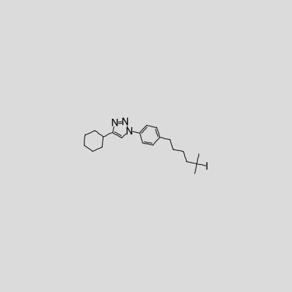 CC(C)(I)CCCCc1ccc(-n2cc(C3CCCCC3)nn2)cc1